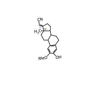 COc1cc2c(cc1O)CCC1C2CC[C@]2(C)/C(=C/C#N)CCC12